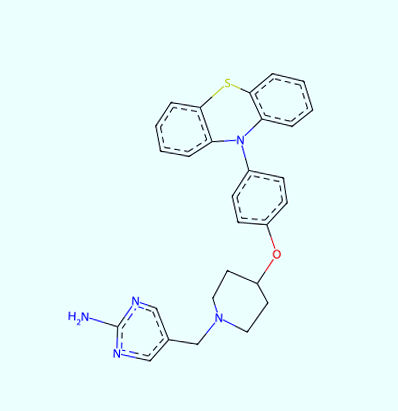 Nc1ncc(CN2CCC(Oc3ccc(N4c5ccccc5Sc5ccccc54)cc3)CC2)cn1